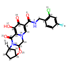 O=C(NCc1ccc(F)cc1Cl)c1cn2c(c(O)c1=O)C(=O)N1C(C2)OC2CC[C@H]1C2